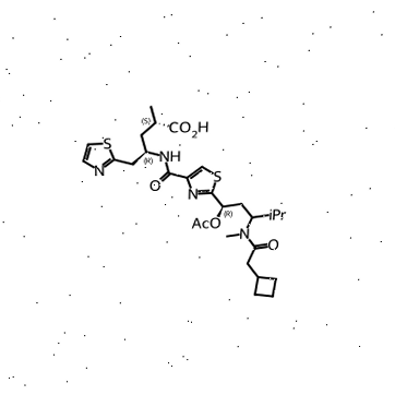 CC(=O)O[C@H](CC(C(C)C)N(C)C(=O)CC1CCC1)c1nc(C(=O)N[C@@H](Cc2nccs2)C[C@H](C)C(=O)O)cs1